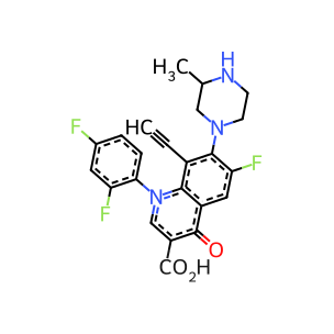 C#Cc1c(N2CCNC(C)C2)c(F)cc2c(=O)c(C(=O)O)cn(-c3ccc(F)cc3F)c12